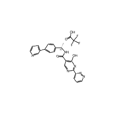 C[C@H](NC(=O)c1cnc(-c2cccnn2)nc1O)c1ccc(-c2cccnc2)cc1.O=C(O)C(F)(F)F